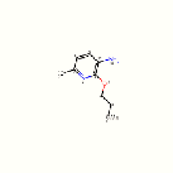 COCCOc1nc(C)ccc1N